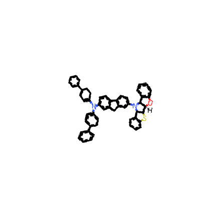 C1=C(c2ccccc2)CCC(N(c2ccc(-c3ccccc3)cc2)c2ccc3c(c2)Cc2cc(N4C5c6ccccc6SC5[C@@H]5Oc6ccccc6C54)ccc2-3)=C1